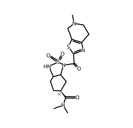 CN1CCc2nc(C(=O)N3C4C[C@@H](C(=O)N(C)C)CCC4NS3(=O)=O)sc2C1